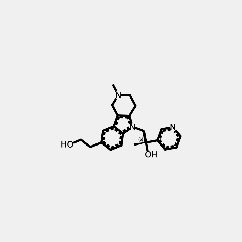 CN1CCc2c(c3cc(CCO)ccc3n2C[C@@](C)(O)c2cccnc2)C1